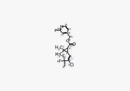 CC1(C)C(/C=C(/Cl)C(F)(F)F)C1C(=O)OCc1ccnc(F)c1